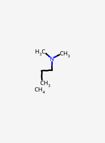 C.CCCN(C)C